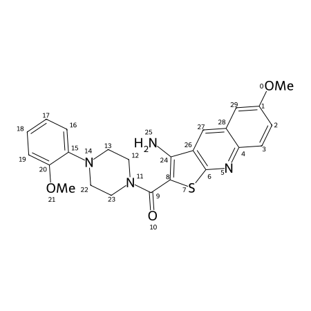 COc1ccc2nc3sc(C(=O)N4CCN(c5ccccc5OC)CC4)c(N)c3cc2c1